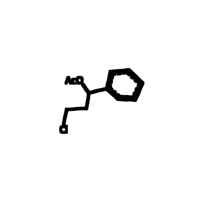 CC(=O)OC(CCCl)c1ccccc1